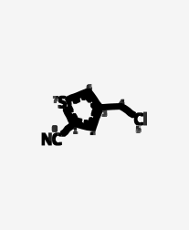 N#Cc1cc(CCl)cs1